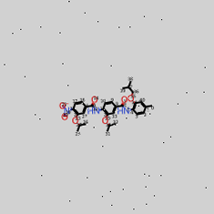 Cc1ccc(NC(=O)c2ccc(NC(=O)c3ccc([N+](=O)[O-])c(OC(C)C)c3)c(OC(C)C)c2)c(OCC(C)C)c1